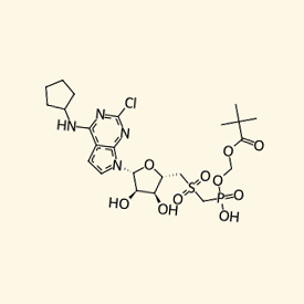 CC(C)(C)C(=O)OCOP(=O)(O)CS(=O)(=O)C[C@H]1O[C@@H](n2ccc3c(NC4CCCC4)nc(Cl)nc32)[C@H](O)[C@@H]1O